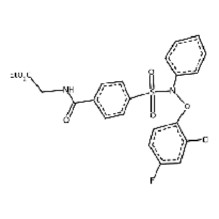 CCOC(=O)CNC(=O)c1ccc(S(=O)(=O)N(Oc2ccc(F)cc2Cl)c2ccccc2)cc1